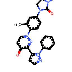 Cc1cc(N2CCN(C(C)(C)C)C2=O)ccc1-n1ccc(=O)c(-c2ccnn2-c2ccccc2)n1